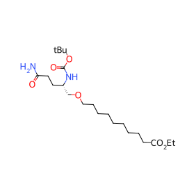 CCOC(=O)CCCCCCCCCOC[C@H](CCC(N)=O)NC(=O)OC(C)(C)C